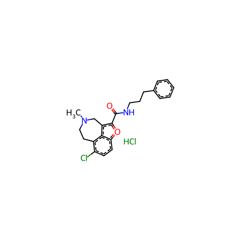 CN1CCc2c(Cl)ccc3oc(C(=O)NCCCc4ccccc4)c(c23)C1.Cl